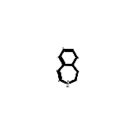 C1=CCC2CCNC=CC2=C1